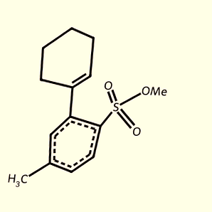 COS(=O)(=O)c1ccc(C)cc1C1=CCCCC1